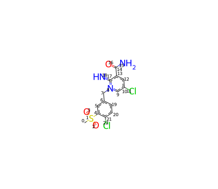 CS(=O)(=O)c1cc(Cn2cc(Cl)cc(C(N)=O)c2=N)ccc1Cl